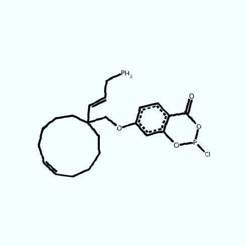 O=C1OP(Cl)Oc2cc(OCC3(/C=C/CP)CCCC/C=C\CCCC3)ccc21